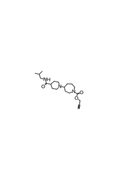 C#CCOC(=O)N1CCCC(N2CCC(C(=O)NCC(C)C)CC2)CC1